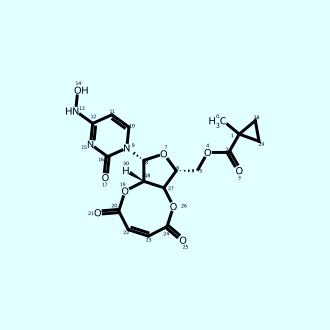 CC1(C(=O)OC[C@H]2O[C@@H](n3ccc(NO)nc3=O)[C@H]3OC(=O)/C=C\C(=O)OC23)CC1